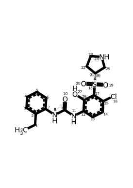 CCc1ccccc1NC(=O)Nc1ccc(Cl)c(S(=O)(=O)[C@@H]2CCNC2)c1O